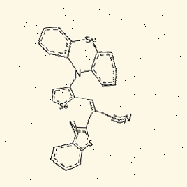 N#CC(=Cc1[se]ccc1N1c2ccccc2[Se]c2ccccc21)c1nc2ccccc2s1